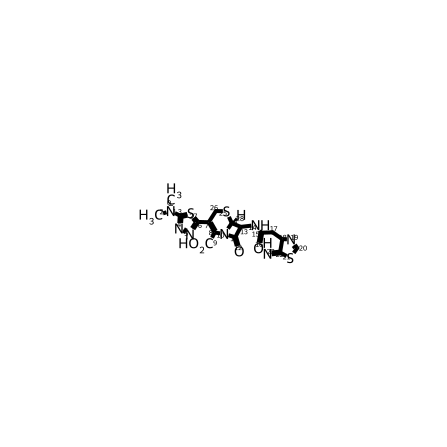 CN(C)c1nnc(C2=C(C(=O)O)N3C(=O)C(NC(=O)CC4N=CSC4=N)[C@H]3SC2)s1